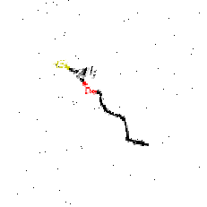 CCCCCO[SiH2]S